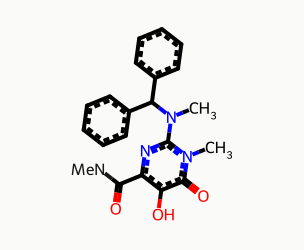 CNC(=O)c1nc(N(C)C(c2ccccc2)c2ccccc2)n(C)c(=O)c1O